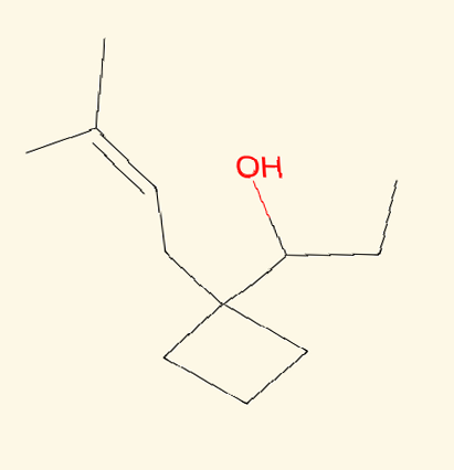 CCC(O)C1(CC=C(C)C)CCC1